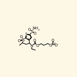 CCN(C(=O)OCCCO[N+](=O)[O-])C1CC(C)S(=O)(=O)c2sc(S(N)(=O)=O)cc21